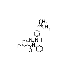 CN(C)Cc1ccc(Nc2nc3ccc(F)cc3c(=O)n2-c2ccccc2)cc1